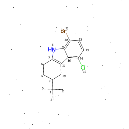 CC(C)(C)C1CCc2[nH]c3c(Br)ccc(Cl)c3c2C1